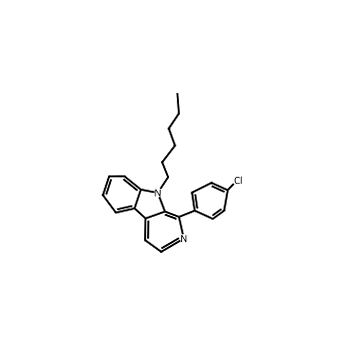 CCCCCCn1c2ccccc2c2ccnc(-c3ccc(Cl)cc3)c21